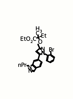 CCCn1ncc2ccc(-c3cc(CO[C@](C)(CC)C(=O)OCC)nn3-c3ccccc3Br)cc21